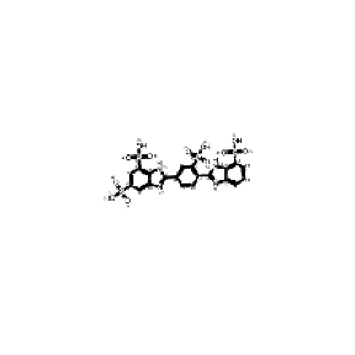 O=S(=O)(O)c1cc(S(=O)(=O)O)c2[nH]c(-c3ccc(-c4nc5cccc(S(=O)(=O)O)c5[nH]4)c(S(=O)(=O)O)c3)nc2c1